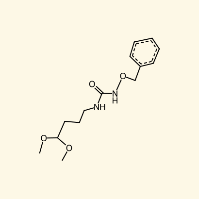 COC(CCCNC(=O)NOCc1ccccc1)OC